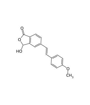 COc1ccc(C=Cc2ccc3c(c2)C(O)OC3=O)cc1